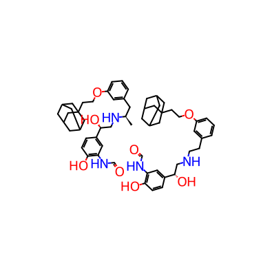 C[C@H](Cc1cccc(OCCC23CC4CC(CC(C4)C2)C3)c1)NC[C@H](O)c1ccc(O)c(NC=O)c1.O=CNc1cc([C@@H](O)CNCCc2cccc(OCCC34CC5CC(CC(C5)C3)C4)c2)ccc1O